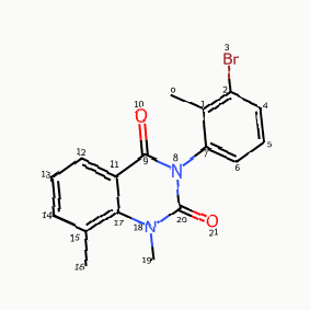 Cc1c(Br)cccc1-n1c(=O)c2cccc(C)c2n(C)c1=O